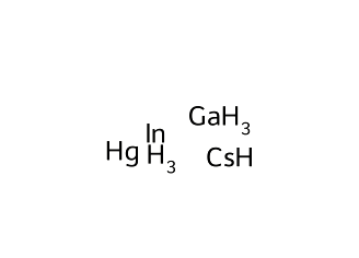 [CsH].[GaH3].[Hg].[InH3]